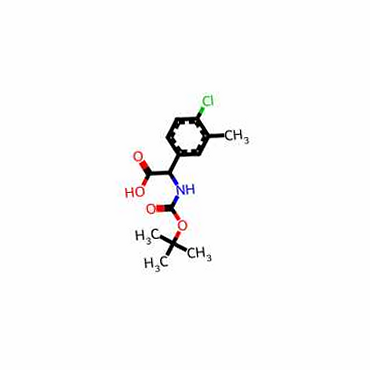 Cc1cc(C(NC(=O)OC(C)(C)C)C(=O)O)ccc1Cl